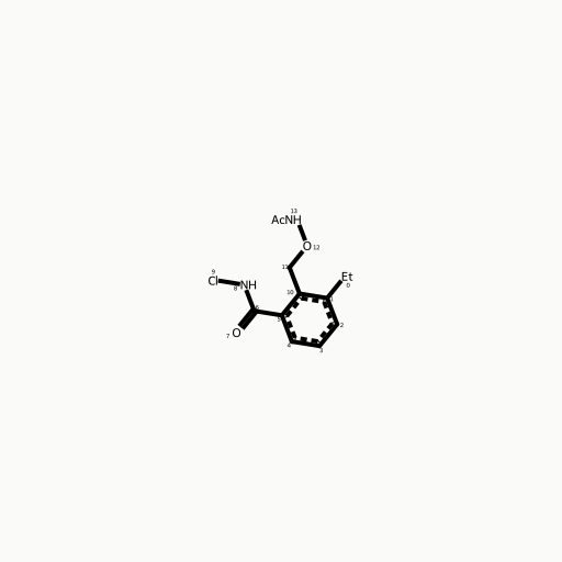 CCc1cccc(C(=O)NCl)c1CONC(C)=O